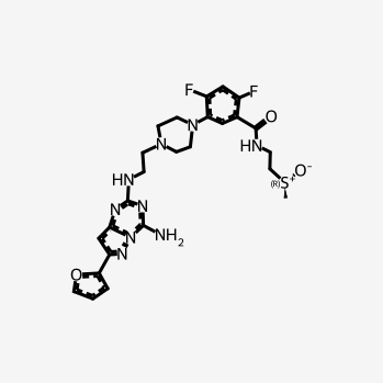 C[S@+]([O-])CCNC(=O)c1cc(N2CCN(CCNc3nc(N)n4nc(-c5ccco5)cc4n3)CC2)c(F)cc1F